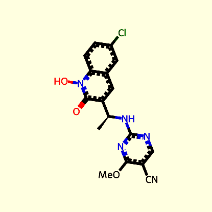 COc1nc(N[C@@H](C)c2cc3cc(Cl)ccc3n(O)c2=O)ncc1C#N